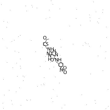 CC(=O)c1ccc(CNc2n[nH]c3c(C(=O)NCc4ccc5oc(=O)n(C)c5c4)ncnc23)s1